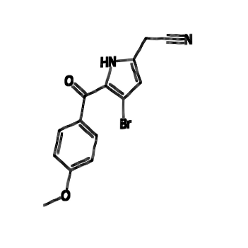 COc1ccc(C(=O)c2[nH]c(CC#N)cc2Br)cc1